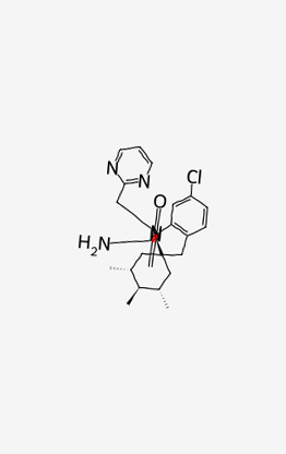 C[C@H]1[C@H](C)CC2(Cc3ccc(Cl)cc3[C@]23N=C(N)N(Cc2ncccn2)C3=O)C[C@@H]1C